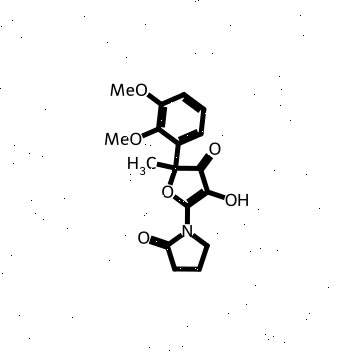 COc1cccc(C2(C)OC(N3CCCC3=O)=C(O)C2=O)c1OC